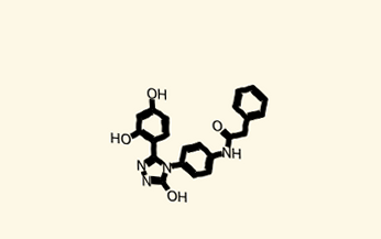 O=C(Cc1ccccc1)Nc1ccc(-n2c(O)nnc2-c2ccc(O)cc2O)cc1